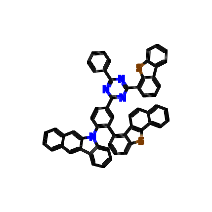 c1ccc(-c2nc(-c3ccc(-n4c5ccccc5c5cc6ccccc6cc54)c(-c4cccc5sc6c7ccccc7ccc6c45)c3)nc(-c3cccc4c3sc3ccccc34)n2)cc1